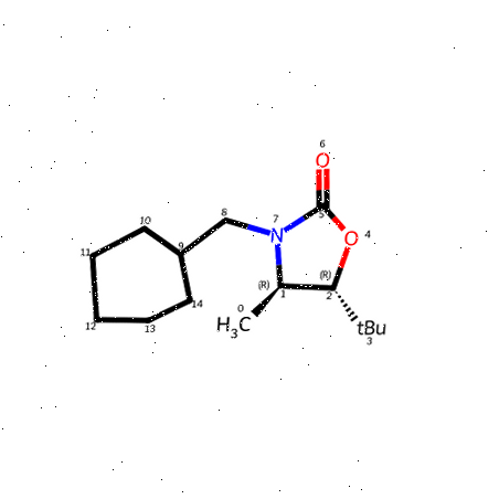 C[C@@H]1[C@@H](C(C)(C)C)OC(=O)N1CC1CCCCC1